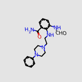 NC(=O)c1cccc(NC=O)c1NCCN1CCN(c2ccccc2)CC1